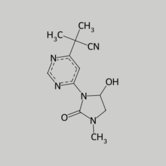 CN1CC(O)N(c2cc(C(C)(C)C#N)ncn2)C1=O